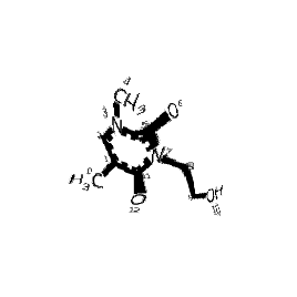 Cc1cn(C)c(=O)n(CCO)c1=O